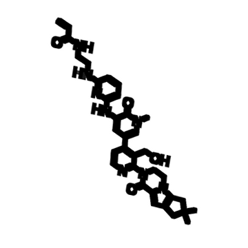 C=CC(=O)NCCNc1cccc(Nc2cc(-c3ccnc(N4CCn5c(cc6c5CC(C)(C)C6)C4=O)c3CO)cn(C)c2=O)n1